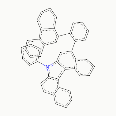 c1ccc(-n2c3ccc4ccccc4c3c3c4ccccc4c(-c4ccccc4-c4cc5ccccc5c5ccccc45)cc32)cc1